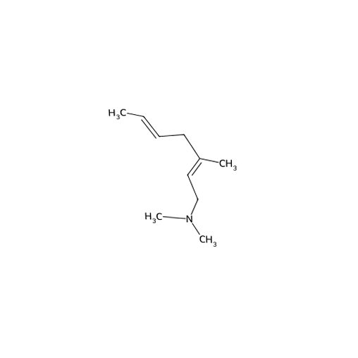 CC=CCC(C)=CCN(C)C